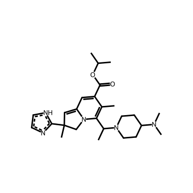 CC1=C(C(C)N2CCC(N(C)C)CC2)N2CC(C)(c3ncc[nH]3)C=C2C=C1C(=O)OC(C)C